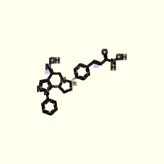 O=C(/C=C/c1ccc([C@@H]2CCC3c4c(cnn4-c4ccccc4)/C(=N/O)CN32)cc1)NO